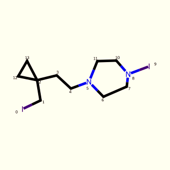 ICC1(CCN2CCN(I)CC2)CC1